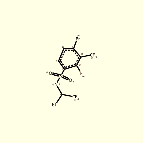 CCC(NS(=O)(=O)c1ccc(Br)c(C(F)(F)F)c1F)C(F)(F)F